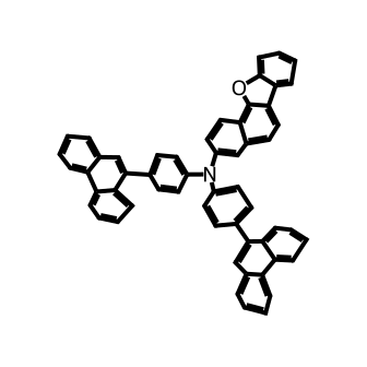 c1ccc2c(c1)cc(-c1ccc(N(c3ccc(-c4cc5ccccc5c5ccccc45)cc3)c3ccc4c(ccc5c6ccccc6oc45)c3)cc1)c1ccccc12